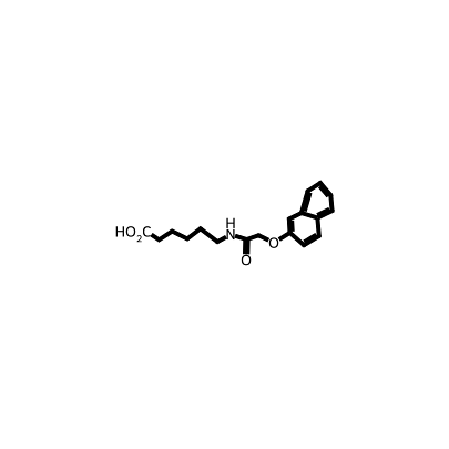 O=C(O)CCCCCNC(=O)COc1ccc2ccccc2c1